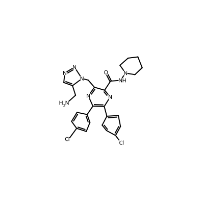 NCc1cnnn1Cc1nc(-c2ccc(Cl)cc2)c(-c2ccc(Cl)cc2)nc1C(=O)NN1CCCCC1